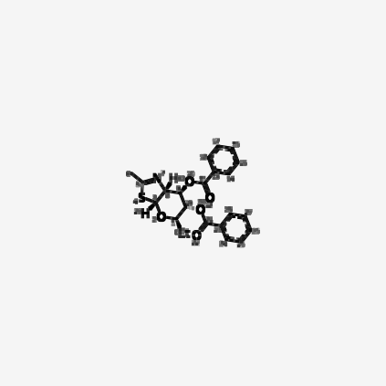 CC[C@H]1O[C@@H]2SC(C)=N[C@@H]2[C@@H](OC(=O)c2ccccc2)[C@@H]1OC(=O)c1ccccc1